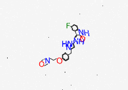 O=C1Nc2ccc(F)cc2C1=CNc1cc(Cc2ccc(OCCCN3CCOCC3)cc2)n[nH]1